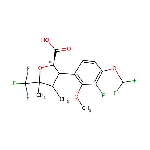 COc1c(C2C(C)C(C)(C(F)(F)F)O[C@H]2C(=O)O)ccc(OC(F)F)c1F